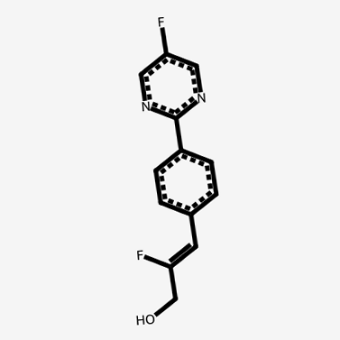 OCC(F)=Cc1ccc(-c2ncc(F)cn2)cc1